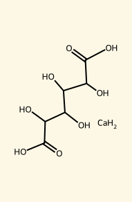 O=C(O)C(O)C(O)C(O)C(O)C(=O)O.[CaH2]